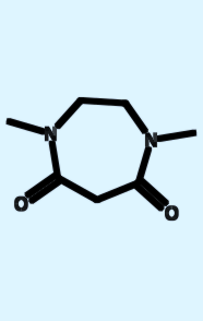 CN1CCN(C)C(=O)CC1=O